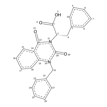 O=C(O)[C@H](Cc1ccccc1)n1c(=O)c2ccccc2n(Cc2ccccc2)c1=O